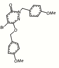 COc1ccc(COc2nn(Cc3ccc(OC)cc3)c(=O)cc2Br)cc1